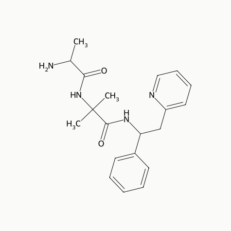 CC(N)C(=O)NC(C)(C)C(=O)NC(Cc1ccccn1)c1ccccc1